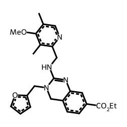 CCOC(=O)c1ccc2c(c1)N=C(NCc1ncc(C)c(OC)c1C)N(Cc1ccco1)C2